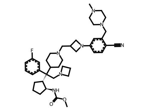 COC(=O)N[C@H]1CCC[C@@H]1C(CN1CCC1)(c1cccc(F)c1)C1CCN(CC2CN(c3ccc(C#N)c(CN4CCN(C)CC4)c3)C2)CC1